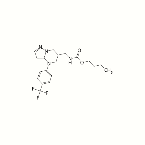 CCCCOC(=O)NCC1CN(c2ccc(C(F)(F)F)cc2)c2ccnn2C1